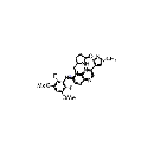 COc1cc(OC)c(F)c(/N=c2\ccc3ncc(-c4cnn(C)c4)nc3n2CC2CCC(=O)N2)c1F